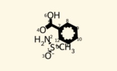 C[S+](N)[O-].O=C(O)c1ccccc1